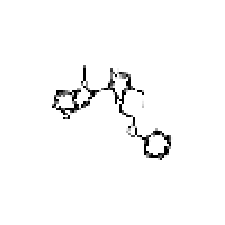 CCc1cnc(-c2cc3sccc3n2C)n1CCOc1ccccc1